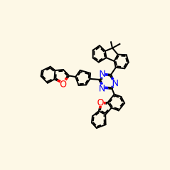 CC1(C)c2ccccc2-c2c(-c3nc(-c4ccc(-c5cc6ccccc6o5)cc4)nc(-c4cccc5c4oc4ccccc45)n3)cccc21